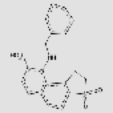 O=C(O)c1cnc2ccc3c(c2c1NCc1ccccc1)CCS3(=O)=O